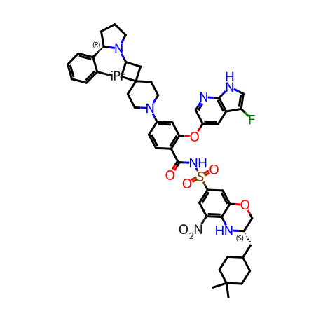 CC(C)c1ccccc1[C@H]1CCCN1C1CC2(CCN(c3ccc(C(=O)NS(=O)(=O)c4cc5c(c([N+](=O)[O-])c4)N[C@@H](CC4CCC(C)(C)CC4)CO5)c(Oc4cnc5[nH]cc(F)c5c4)c3)CC2)C1